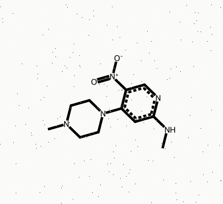 CNc1cc(N2CCN(C)CC2)c([N+](=O)[O-])cn1